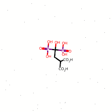 O=C(O)C(CC(O)(P(=O)(O)O)P(=O)(O)O)C(=O)O